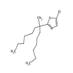 CCCCCCC(C)(CCCCCC)c1ncc(Cl)s1